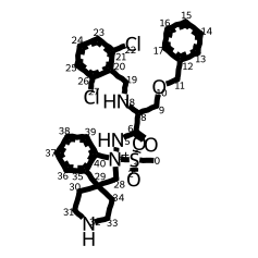 CS(=O)(=O)[N+]1(NC(=O)C(COCc2ccccc2)NCc2c(Cl)cccc2Cl)CC2(CCNCC2)c2ccccc21